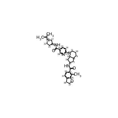 Cc1c(C(=O)NC2CC3CCCN(c4ccc(C(=O)N[C@@H]5CCN(C(C)C)C5)cn4)C3C2)ccc2c1OCC2